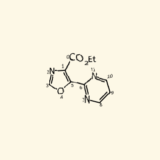 CCOC(=O)c1ncoc1-c1ncccn1